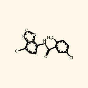 Cc1ccc(Cl)cc1C(=O)Nc1ccc(Cl)c2nonc12